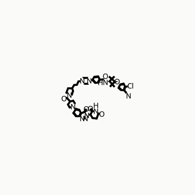 CC1(C)[C@H](NC(=O)c2ccc(N3CCN(CCCC4CCN(C(=O)C5CCN(c6ccc7nnn(C8CCC(=O)NC8=O)c(=O)c7c6)CC5)CC4)CC3)cc2)C(C)(C)[C@H]1Oc1ccc(C#N)c(Cl)c1